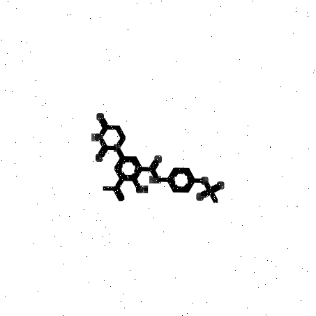 C=C(C)c1cc(N2CCC(=O)NC2=O)cc(C(=O)Nc2ccc(OS(C)(=O)=O)cc2)c1O